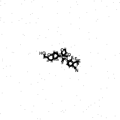 N#Cc1ccc(N2C(=O)C3(CCOC3)N(c3ccc4c(c3)CCC(CO)O4)C2=S)c(F)c1C(F)(F)F